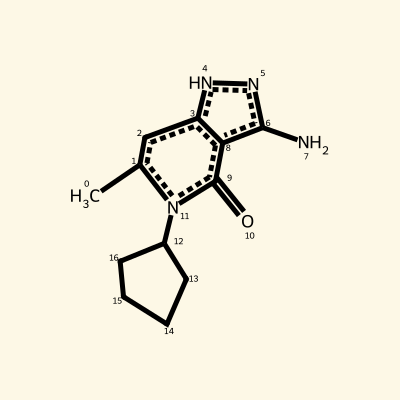 Cc1cc2[nH]nc(N)c2c(=O)n1C1CCCC1